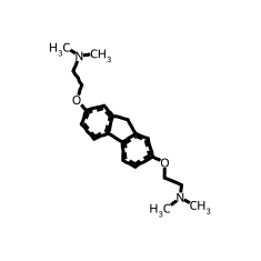 CN(C)CCOc1ccc2c(c1)Cc1cc(OCCN(C)C)ccc1-2